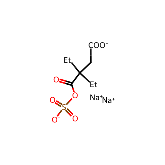 CCC(CC)(CC(=O)[O-])C(=O)OS(=O)(=O)[O-].[Na+].[Na+]